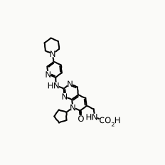 O=C(O)NCc1cc2cnc(Nc3ccc(N4CCCCC4)cn3)nc2n(C2CCCC2)c1=O